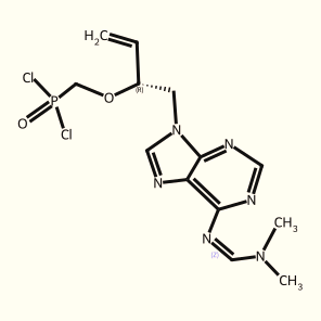 C=C[C@H](Cn1cnc2c(/N=C\N(C)C)ncnc21)OCP(=O)(Cl)Cl